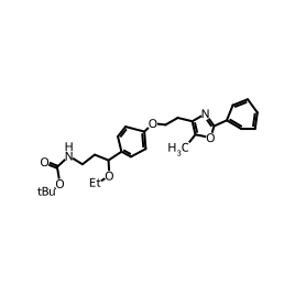 CCOC(CCNC(=O)OC(C)(C)C)c1ccc(OCCc2nc(-c3ccccc3)oc2C)cc1